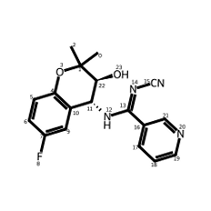 CC1(C)Oc2ccc(F)cc2[C@@H](NC(=NC#N)c2cccnc2)[C@@H]1O